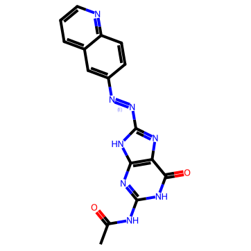 CC(=O)Nc1nc2[nH]c(/N=N/c3ccc4ncccc4c3)nc2c(=O)[nH]1